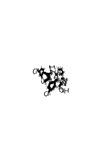 [C-]#[N+]c1ccc2c(c1)OCC[C@@H]2NC(=O)N1CCC[C@@H]1c1nnc(CO)n1Cc1ccc(Cl)cc1